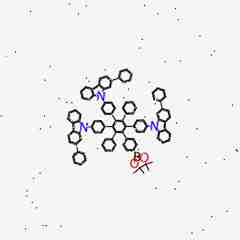 CC1(C)OB(c2ccc(-c3c(-c4ccccc4)c(-c4ccc(-n5c6ccccc6c6ccc(-c7ccccc7)cc65)cc4)c(-c4ccc(-n5c6ccccc6c6ccc(-c7ccccc7)cc65)cc4)c(-c4ccccc4)c3-c3ccc(-n4c5ccccc5c5ccc(-c6ccccc6)cc54)cc3)cc2)OC1(C)C